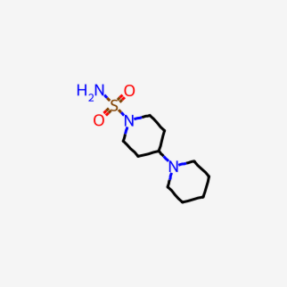 NS(=O)(=O)N1CCC(N2CCCCC2)CC1